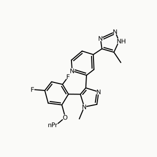 CCCOc1cc(F)cc(F)c1-c1c(-c2cc(-c3nn[nH]c3C)ccn2)ncn1C